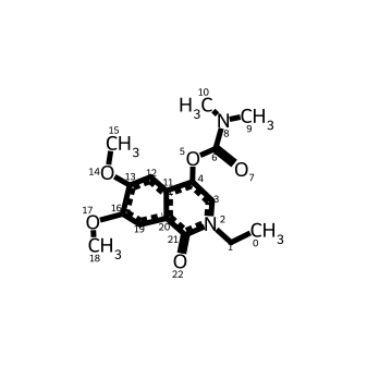 CCn1cc(OC(=O)N(C)C)c2cc(OC)c(OC)cc2c1=O